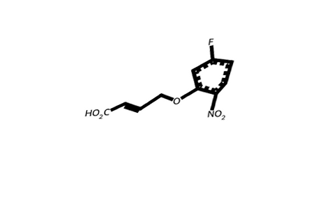 O=C(O)C=CCOc1cc(F)ccc1[N+](=O)[O-]